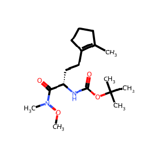 CON(C)C(=O)[C@H](CCC1=C(C)CCC1)NC(=O)OC(C)(C)C